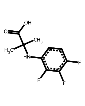 CC(C)(Nc1ccc(F)c(F)c1F)C(=O)O